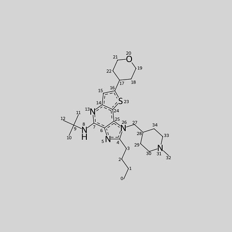 CCCCc1nc2c(NC(C)(C)C)nc3cc(C4CCOCC4)sc3c2n1CC1CCN(C)CC1